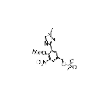 COc1c(-c2ncn(C)n2)cc(COS(C)(=O)=O)cc1[N+](=O)[O-]